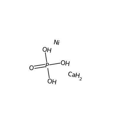 O=P(O)(O)O.[CaH2].[Ni]